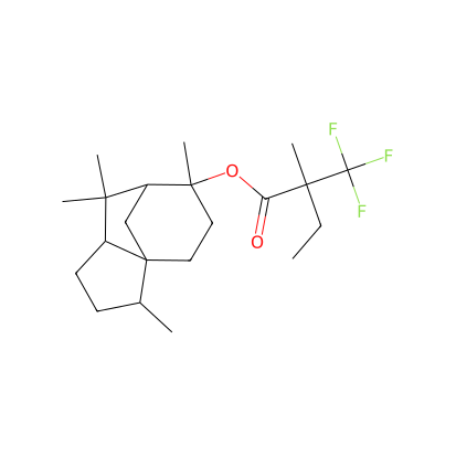 CCC(C)(C(=O)OC1(C)CCC23CC1C(C)(C)C2CCC3C)C(F)(F)F